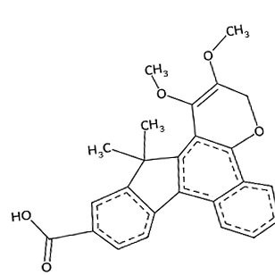 COC1=C(OC)c2c3c(c4ccccc4c2OC1)-c1ccc(C(=O)O)cc1C3(C)C